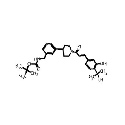 CC(C)(C)OC(=O)NCc1cccc(C2CCN(C(=O)C=Cc3ccc(C(C)(C)O)c(O)c3)CC2)c1